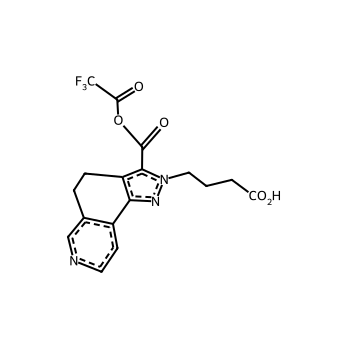 O=C(O)CCCn1nc2c(c1C(=O)OC(=O)C(F)(F)F)CCc1cnccc1-2